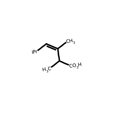 CC(=CC(C)C)C(C)C(=O)O